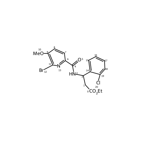 CCOC(=O)CC(NC(=O)c1ccc(OC)c(Br)n1)c1ccccc1Cl